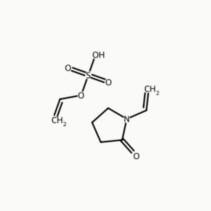 C=CN1CCCC1=O.C=COS(=O)(=O)O